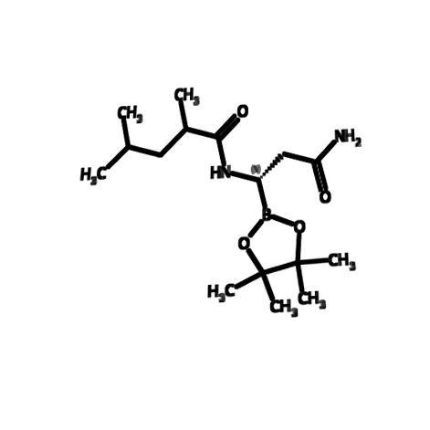 CC(C)CC(C)C(=O)N[C@H](CC(N)=O)B1OC(C)(C)C(C)(C)O1